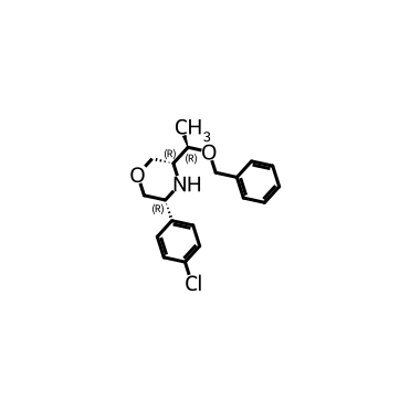 C[C@@H](OCc1ccccc1)[C@H]1COC[C@@H](c2ccc(Cl)cc2)N1